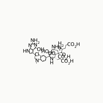 CN(CCc1c[nH]c2nc(N)nc(O)c12)c1ccc(C(=O)N[C@@H](CCC(=O)O)C(=O)C(C[C@H](N)C(=O)O)(C(=O)O)C(=O)[C@@H](N)CCC(=O)O)cc1Cl